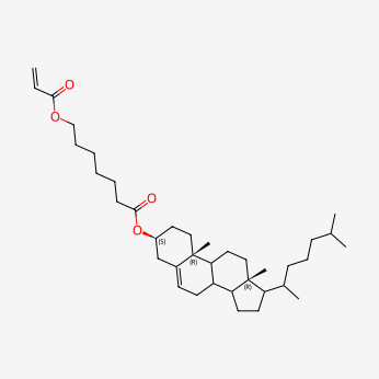 C=CC(=O)OCCCCCCC(=O)O[C@H]1CC[C@@]2(C)C(=CCC3C4CCC(C(C)CCCC(C)C)[C@@]4(C)CCC32)C1